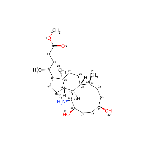 COC(=O)CC[C@@H](C)[C@H]1CC[C@H]2[C@@H]3[C@H](N)[C@H](O)CC[C@H](O)CC[C@H](C)[C@H]3CC[C@]12C